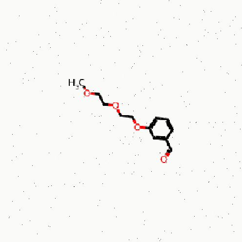 COCCOCCOc1cccc(C=O)c1